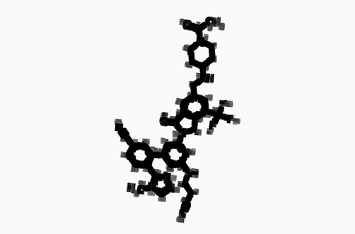 CC(=O)N1CCC(NCc2cc3c(c(C(F)(F)F)c2)CN(c2cc(-c4cc(C#N)ccc4-c4nncn4C)cc(NCCC#N)n2)C3=O)CC1